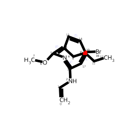 C=CNC1=N\C(OC)=C(CCCC)\C=C/C(Br)=C\1